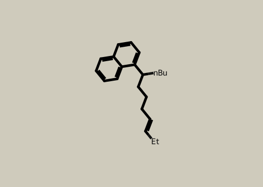 CCC=CCCCC(CCCC)c1cccc2ccccc12